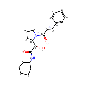 O=C(NC1CCCCC1)C(O)C1CCCN1C(=O)/C=C/c1ccccc1